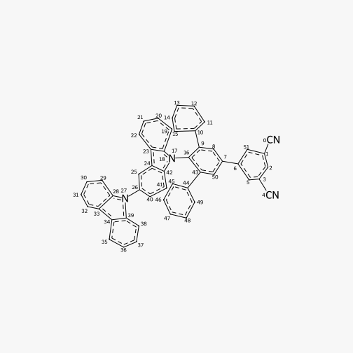 N#Cc1cc(C#N)cc(-c2cc(-c3ccccc3)c(-n3c4ccccc4c4cc(-n5c6ccccc6c6ccccc65)ccc43)c(-c3ccccc3)c2)c1